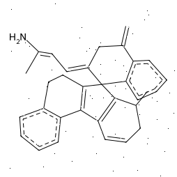 C=C1C/C(=C\C=C(/C)N)C2(C3=C(C4=C2C(C)CC=C4)c2ccccc2CC3)c2ccccc21